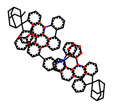 CC12CC3CC(CC(C3)C13c1ccccc1-c1c(N(c4ccccc4-c4ccccc4-c4ccccc4-c4cccc(-c5ccc6c7cccc(N(c8ccccc8-c8ccccc8-c8ccccc8-c8ccccc8)c8cccc9c8-c8ccccc8C98C9CC%10CC(C9)CC8C%10)c7n(-c7ccccc7)c6c5)c4)c4cccc5c4oc4ccccc45)cccc13)C2